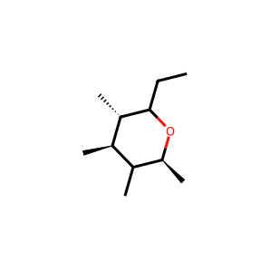 CCC1O[C@@H](C)C(C)[C@@H](C)[C@@H]1C